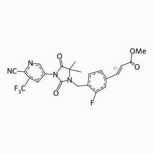 COC(=O)/C=C/c1ccc(CN2C(=O)N(c3cnc(C#N)c(C(F)(F)F)c3)C(=O)C2(C)C)c(F)c1